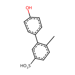 Cc1ccc(S(=O)(=O)O)cc1-c1ccc(O)cc1